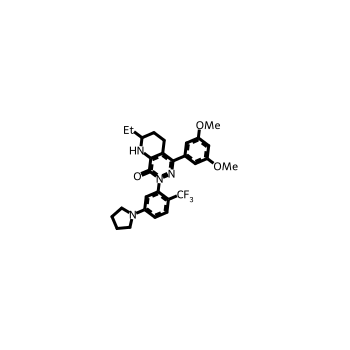 CCC1CCc2c(-c3cc(OC)cc(OC)c3)nn(-c3cc(N4CCCC4)ccc3C(F)(F)F)c(=O)c2N1